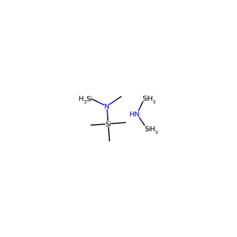 CN([SiH3])[Si](C)(C)C.[SiH3]N[SiH3]